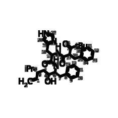 C=C[C@@H](C[C@H](O)[C@H](Cc1ccccc1)NC(=O)C(Cc1c[nH]cn1)NC(=O)C(Cc1ccccc1)C(=O)C(C)(C)C)C(C)C